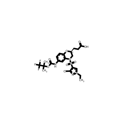 CCn1cc(S(=O)(=O)N2C[C@H](CCC(=O)O)Oc3ccc(NC(=O)OC(C)(C)C(F)(F)F)cc32)c(Cl)n1